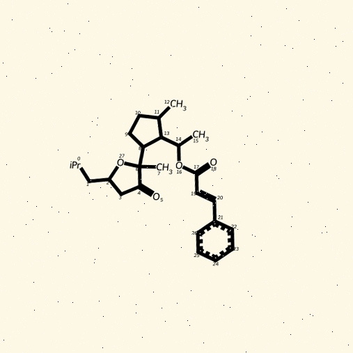 CC(C)CC1CC(=O)C(C)(C2CCC(C)C2C(C)OC(=O)/C=C/c2ccccc2)O1